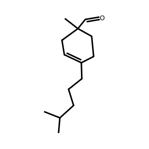 CC(C)CCCC1=CCC(C)(C=O)CC1